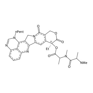 CCCCCN1C=Nc2cccc3nc4c(c1c23)Cn1c-4cc2c(c1=O)COC(=O)[C@@]2(CC)OC(=O)C(C)N(C)C(=O)C(C)NC